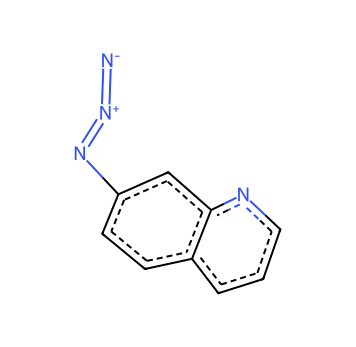 [N-]=[N+]=Nc1ccc2cccnc2c1